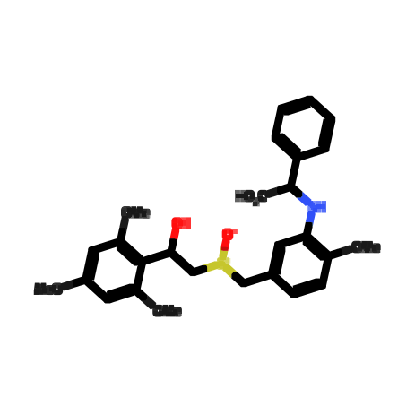 COc1cc(OC)c(C(O)C[S+]([O-])Cc2ccc(OC)c(NC(C(=O)O)c3ccccc3)c2)c(OC)c1